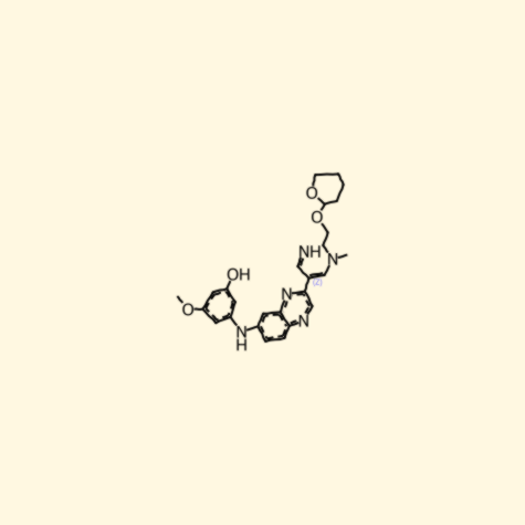 COc1cc(O)cc(Nc2ccc3ncc(/C(C=N)=C/N(C)CCOC4CCCCO4)nc3c2)c1